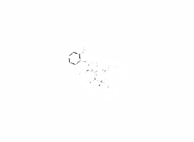 CCON(C(=O)Nc1ccccc1F)C(Cl)C(Cl)(Cl)CCl